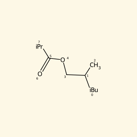 CCC(C)C(C)COC(=O)C(C)C